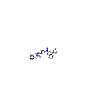 Cc1c(-c2ccc(NC(=O)[CH]C(c3ccccc3)c3ccccc3)cc2)cnn1Cc1ccccc1